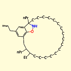 C=CCc1cc2c3c(c1)C(CCC)(CCCCCCCCCCCCCCCCC(CC)C(CCC)C2)NO3